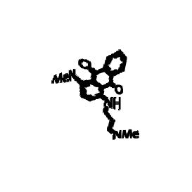 CNCCCNc1ccc(NC)c2c1C(=O)c1ccccc1C2=O